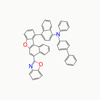 c1ccc(-c2ccc(N(c3ccccc3)c3ccc(-c4cccc5oc6cc(-c7nc8ccccc8o7)c7ccccc7c6c45)c4ccccc34)cc2)cc1